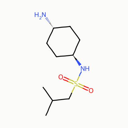 CC(C)CS(=O)(=O)N[C@H]1CC[C@H](N)CC1